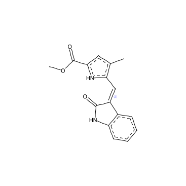 COC(=O)c1cc(C)c(/C=C2\C(=O)Nc3ccccc32)[nH]1